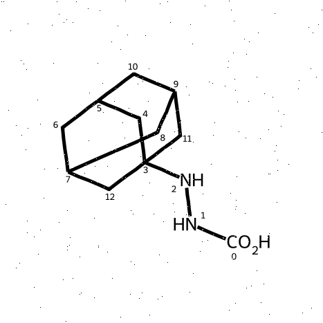 O=C(O)NNC12CC3CC(CC(C3)C1)C2